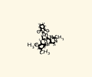 Cc1ccc(C[C@H](CON2C(=O)c3ccccc3C2=O)NC(=O)c2nc(C)ncc2Br)c(C)c1